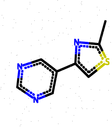 Cc1nc(-c2cncnc2)cs1